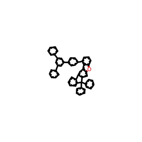 c1ccc(-c2cc(-c3ccccc3)cc(-c3ccc(-c4cccc5oc6cc7c(cc6c45)-c4ccccc4C7(c4ccccc4)c4ccccc4)cc3)c2)cc1